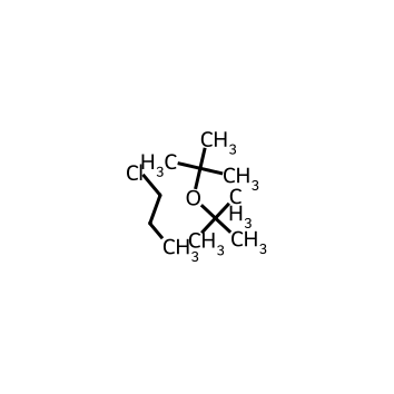 CC(C)(C)OC(C)(C)C.CCCCl